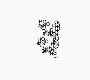 O=C(O)NC[C@@H](CC1CCC1)C(=O)NNc1nc(Cl)nc(N2CCN3CCOC[C@@H]3C2)c1F.O=C(O)NC[C@@H](CC1CCC1)C(=O)NNc1nc(Cl)nc(N2CCN3CCOC[C@@H]3C2)c1F